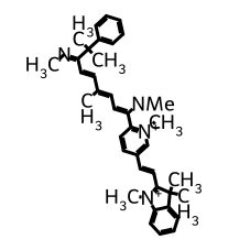 C\N=C(/C=C/C(C)=C/C=C(\NC)c1ccc(/C=C/C2=[N+](C)c3ccccc3C2(C)C)c[n+]1C)C(C)(C)c1ccccc1